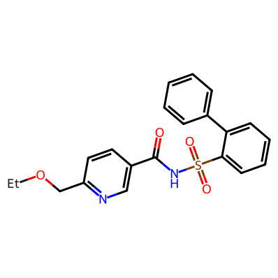 CCOCc1ccc(C(=O)NS(=O)(=O)c2ccccc2-c2ccccc2)cn1